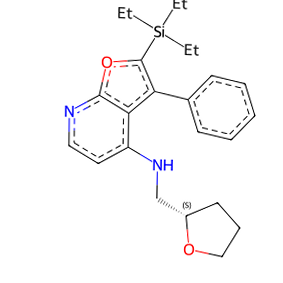 CC[Si](CC)(CC)c1oc2nccc(NC[C@@H]3CCCO3)c2c1-c1ccccc1